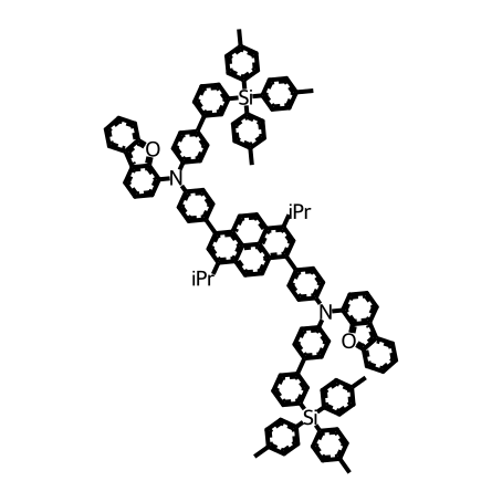 Cc1ccc([Si](c2ccc(C)cc2)(c2ccc(C)cc2)c2cccc(-c3ccc(N(c4ccc(-c5cc(C(C)C)c6ccc7c(-c8ccc(N(c9ccc(-c%10cccc([Si](c%11ccc(C)cc%11)(c%11ccc(C)cc%11)c%11ccc(C)cc%11)c%10)cc9)c9cccc%10c9oc9ccccc9%10)cc8)cc(C(C)C)c8ccc5c6c78)cc4)c4cccc5c4oc4ccccc45)cc3)c2)cc1